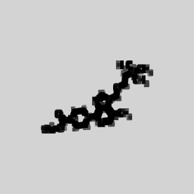 CC(C)(C)OC(=O)N1CCN(c2ncc(C(F)(F)F)c3c2ncn3COCC[Si](C)(C)C)CC1